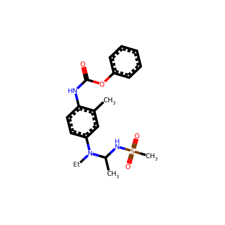 CCN(c1ccc(NC(=O)Oc2ccccc2)c(C)c1)C(C)NS(C)(=O)=O